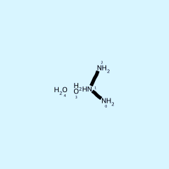 NNN.O.O